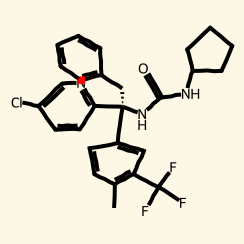 Cc1ccc([C@](Cc2ccccc2)(NC(=O)NC2CCCC2)c2ccc(Cl)cn2)cc1C(F)(F)F